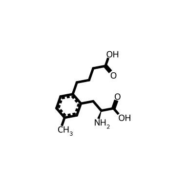 Cc1ccc(CCCC(=O)O)c(C[C@H](N)C(=O)O)c1